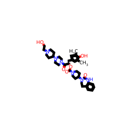 Cc1cc(C[C@@H](OC(=O)N2CCC(N3CCc4ccccc4NC3=O)CC2)C(=O)N2CCN(C3CCN(CCO)CC3)CC2)cc(C)c1O